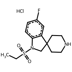 CCS(=O)(=O)N1CC2(CCNCC2)c2cc(F)ccc21.Cl